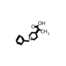 CC(C(=O)O)=C1CCN(Cc2ccccc2)CC1